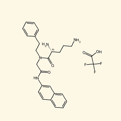 NCCC[C@@H](N)C(=O)N(CCc1ccccc1)CC(=O)Nc1ccc2ccccc2c1.O=C(O)C(F)(F)F